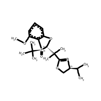 COc1cccc2c1[P@](=O)(C(C)(C)C)[C@@H](C(C)(C)C1=N[C@@H](C(C)C)CO1)O2